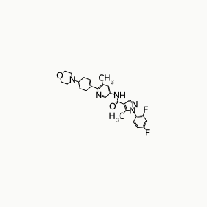 Cc1cc(NC(=O)c2cnn(-c3ccc(F)cc3F)c2C)cnc1C1=CCC(N2CCOCC2)CC1